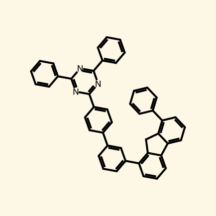 c1ccc(-c2nc(-c3ccccc3)nc(-c3ccc(-c4cccc(-c5cccc6c5Cc5c(-c7ccccc7)cccc5-6)c4)cc3)n2)cc1